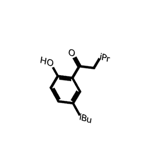 CCC(C)c1ccc(O)c(C(=O)CC(C)C)c1